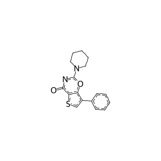 O=c1nc(N2CCCCC2)oc2c(-c3ccccc3)csc12